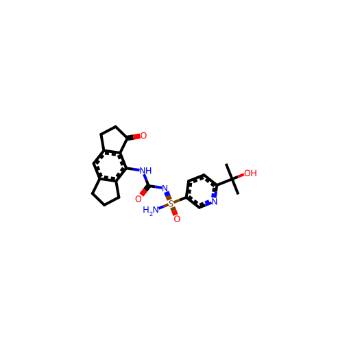 CC(C)(O)c1ccc(S(N)(=O)=NC(=O)Nc2c3c(cc4c2C(=O)CC4)CCC3)cn1